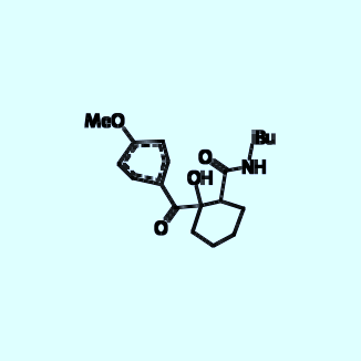 CCC(C)NC(=O)C1CCCCC1(O)C(=O)c1ccc(OC)cc1